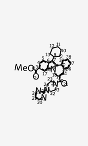 COC(=O)c1ccc2c(C3CCCCC3)c3n(c2c1)CC(C(=O)N1CCN(c2ncccn2)CC1)=Cc1ccccc1-3